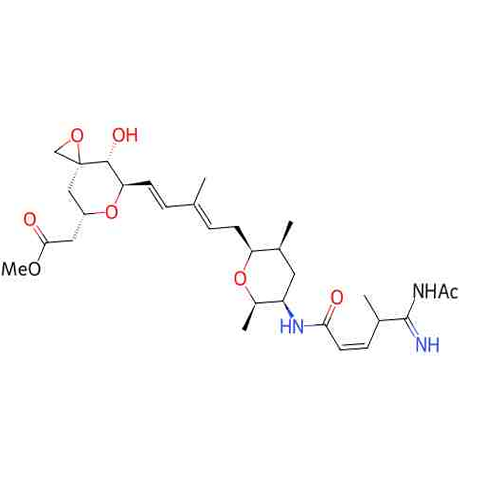 COC(=O)C[C@@H]1C[C@@]2(CO2)[C@H](O)[C@@H](/C=C/C(C)=C/C[C@@H]2O[C@H](C)[C@H](NC(=O)/C=C\C(C)C(=N)NC(C)=O)C[C@@H]2C)O1